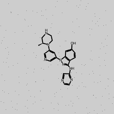 C[C@H]1CNCCN1c1cncc(-n2nc(Nc3cnccn3)c3ccc(O)cc32)c1